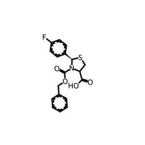 O=C(O)C1CS[C@H](c2ccc(F)cc2)N1C(=O)OCc1ccccc1